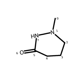 [CH2]N1CCCC(=O)N1